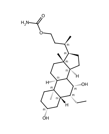 CC[C@H]1[C@@H](O)C2[C@H](CC[C@]3(C)[C@@H]([C@H](C)CCOC(N)=O)CC[C@@H]23)[C@]2(C)CC[C@@H](O)C[C@@H]12